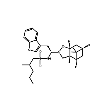 CCCC(C)CS(=O)(=O)N[C@@H](Cc1coc2ccccc12)B1O[C@@H]2C[C@@H]3C[C@@H](C3(C)C)[C@]2(C)O1